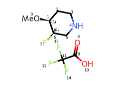 CO[C@H]1CCNC[C@H]1F.O=C(O)C(F)(F)F